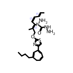 C/C=C/C=C\C(=C(/C)COc1nc(C2=CC=CCC(CCCC)=C2)cs1)N(N)C(=O)NN